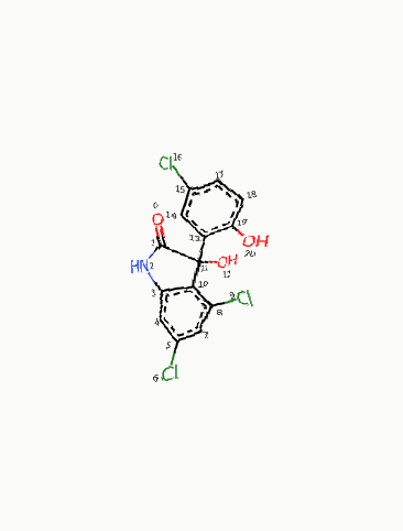 O=C1Nc2cc(Cl)cc(Cl)c2C1(O)c1cc(Cl)ccc1O